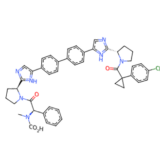 CN(C(=O)O)[C@@H](C(=O)N1CCC[C@H]1c1ncc(-c2ccc(-c3ccc(-c4cnc([C@@H]5CCCN5C(=O)C5(c6ccc(Cl)cc6)CC5)[nH]4)cc3)cc2)[nH]1)c1ccccc1